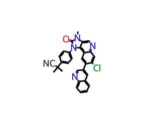 Cn1c(=O)n(-c2ccc(C(C)(C)C#N)cc2)c2c3cc(-c4cnc5ccccc5c4)c(Cl)cc3ncc21